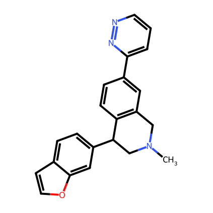 CN1Cc2cc(-c3cccnn3)ccc2C(c2ccc3ccoc3c2)C1